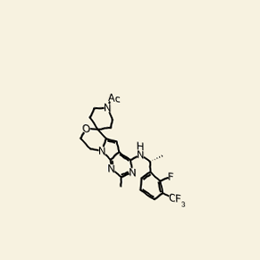 CC(=O)N1CCC2(CC1)OCCn1c2cc2c(N[C@H](C)c3cccc(C(F)(F)F)c3F)nc(C)nc21